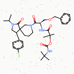 CC(C)N1CC(c2ccc(F)cc2)C2(CCCN(C(=O)[C@@H](COCc3ccccc3)NC(=O)C(C)(C)OC(=O)NC(C)(C)C)C2)C1=O